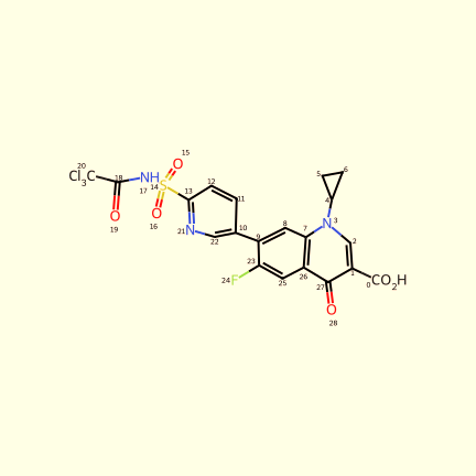 O=C(O)c1cn(C2CC2)c2cc(-c3ccc(S(=O)(=O)NC(=O)C(Cl)(Cl)Cl)nc3)c(F)cc2c1=O